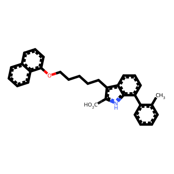 Cc1ccccc1-c1cccc2c(CCCCCOc3cccc4ccccc34)c(C(=O)O)[nH]c12